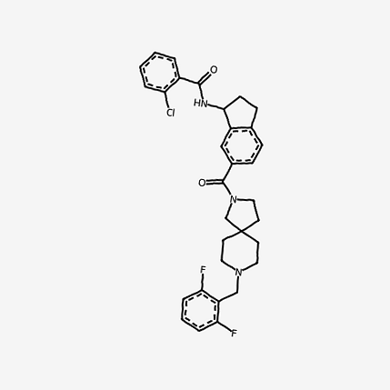 O=C(NC1CCc2ccc(C(=O)N3CCC4(CCN(Cc5c(F)cccc5F)CC4)C3)cc21)c1ccccc1Cl